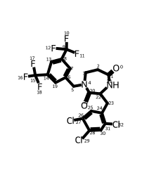 O=C1CCN(Cc2cc(C(F)(F)F)cc(C(F)(F)F)c2)C(=O)C(Cc2cc(Cl)c(Cl)cc2Cl)N1